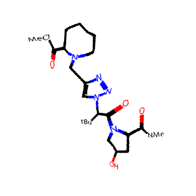 CNC(=O)C1CC(O)CN1C(=O)C(n1cc(CN2CCCCC2C(=O)OC)nn1)C(C)(C)C